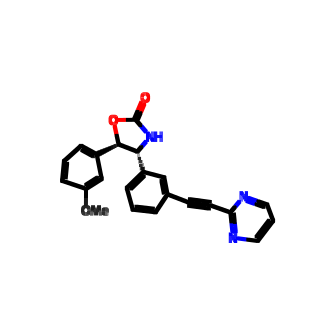 COc1cccc([C@H]2OC(=O)N[C@@H]2c2cccc(C#Cc3ncccn3)c2)c1